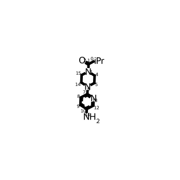 CC(C)C(=O)N1CCN(c2ccc(N)cn2)CC1